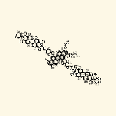 CCCCOC(=O)c1ccc2c3c(Oc4ccc(CCN5C(=O)c6ccc7c8ccc9c%10c(ccc(c%11ccc(c6c7%11)C5=O)c%108)C(=O)N(C5CCCCC5)C9=O)cc4)cc(C(C)=O)c4c(C(C)=O)ccc(c5c(Oc6ccc(CCN7C(=O)c8ccc9c%10ccc%11c%12c(ccc(c%13ccc(c8c9%13)C7=O)c%12%10)C(=O)N(C7CCCCC7)C%11=O)cc6)cc(C(=O)OCCCC)c1c25)c43